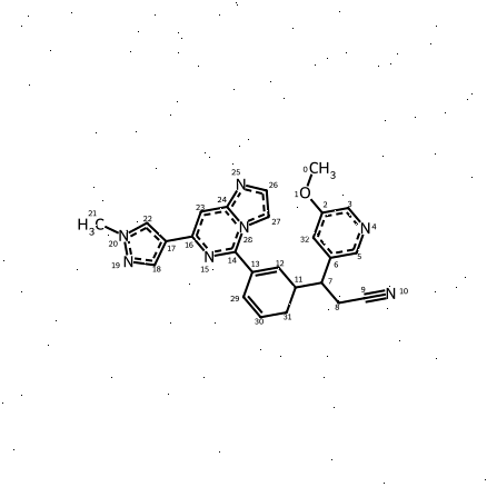 COc1cncc(C(CC#N)C2C=C(c3nc(-c4cnn(C)c4)cc4nccn34)C=CC2)c1